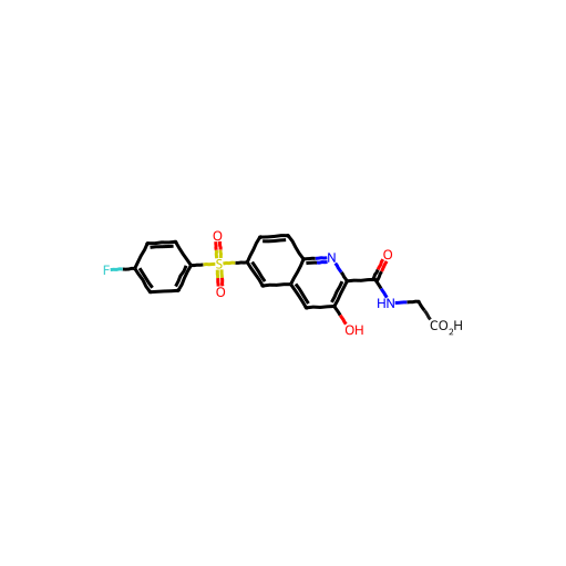 O=C(O)CNC(=O)c1nc2ccc(S(=O)(=O)c3ccc(F)cc3)cc2cc1O